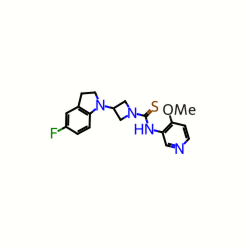 COc1ccncc1NC(=S)N1CC(N2CCc3cc(F)ccc32)C1